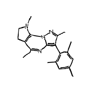 Cc1cc(C)c(-c2c(C)nn3c4c(c(C)nc23)CCN4C)c(C)c1